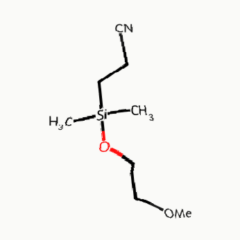 COCCO[Si](C)(C)CCC#N